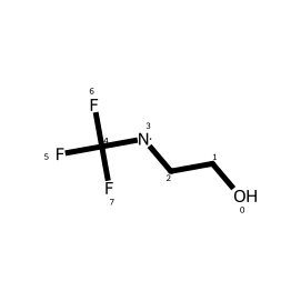 OCC[N]C(F)(F)F